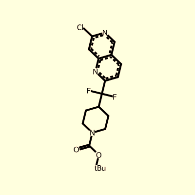 CC(C)(C)OC(=O)N1CCC(C(F)(F)c2ccc3cnc(Cl)cc3n2)CC1